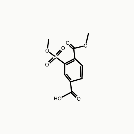 COC(=O)c1ccc(C(=O)O)cc1S(=O)(=O)OC